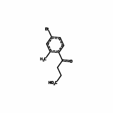 CCc1ccc(C(=O)CCC(=O)O)c(C)c1